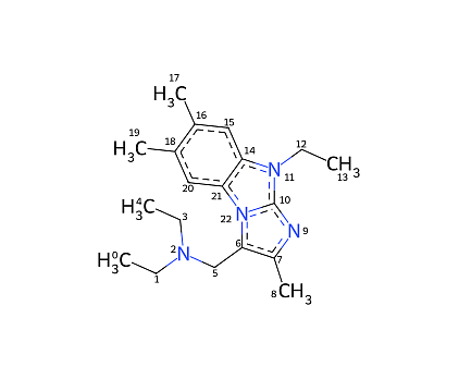 CCN(CC)Cc1c(C)nc2n(CC)c3cc(C)c(C)cc3n12